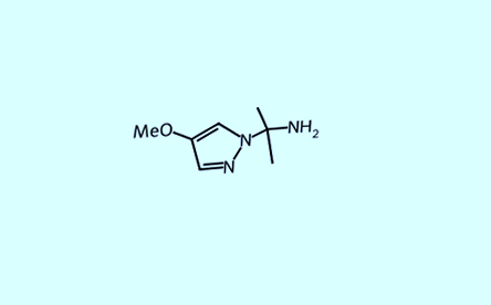 COc1cnn(C(C)(C)N)c1